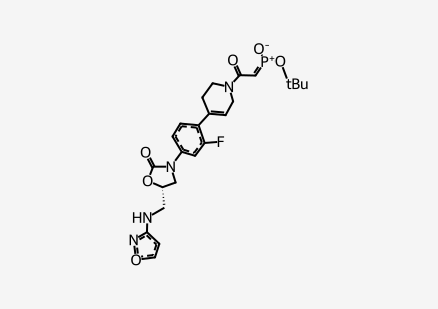 CC(C)(C)O/[P+]([O-])=C/C(=O)N1CC=C(c2ccc(N3C[C@H](CNc4ccon4)OC3=O)cc2F)CC1